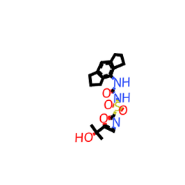 CC(C)(O)c1cnc(S(=O)(=O)NC(=O)Nc2c3c(cc4c2CCC4)CCC3)o1